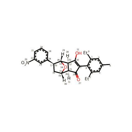 CCc1cc(C)cc(CC)c1C1=C(O)[C@@H]2[C@@H]3O[C@@H](C[C@H]3c3cccc([N+](=O)[O-])c3)[C@@H]2C1=O